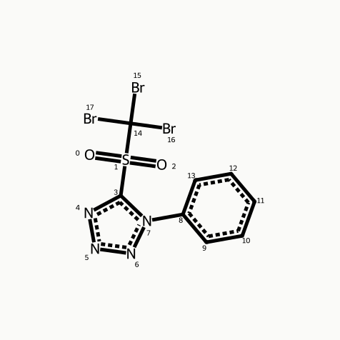 O=S(=O)(c1nnnn1-c1ccccc1)C(Br)(Br)Br